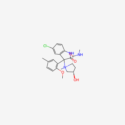 CNC(=O)[C@@H]1C[C@@H](O)C[N+]1(C)C1(c2cc(C)ccc2OC)C(=O)Nc2ccc(Cl)cc21